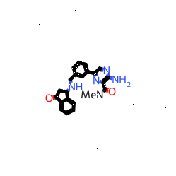 CNC(=O)c1nc(-c2cccc(CNC3CC(=O)c4ccccc43)c2)cnc1N